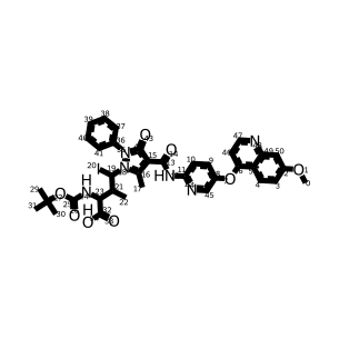 COc1ccc2c(Oc3ccc(NC(=O)c4c(C)n(C(I)C(C)C(NC(=O)OC(C)(C)C)C(=O)O)n(-c5ccccc5)c4=O)nc3)ccnc2c1